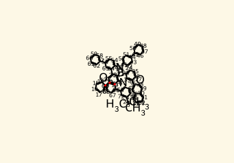 CC(C)(C)c1ccc(N2c3cc4c(oc5ccccc54)c4c3B(c3ccc5oc6cc7ccccc7cc6c5c32)N(c2ccc(-c3ccccc3)cc2)c2ccc(-c3ccccc3)cc2-4)c(-c2ccccc2)c1